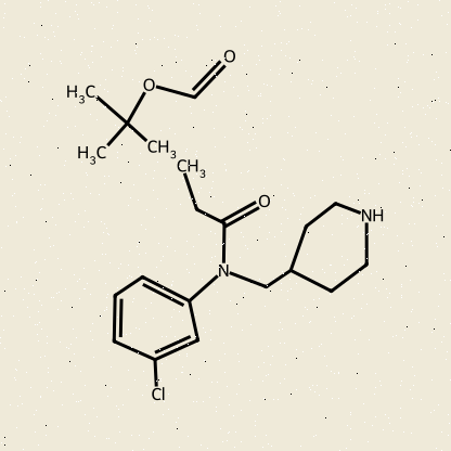 CC(C)(C)OC=O.CCC(=O)N(CC1CCNCC1)c1cccc(Cl)c1